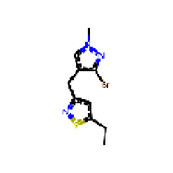 CCc1cc(Cc2cn(C)nc2Br)ns1